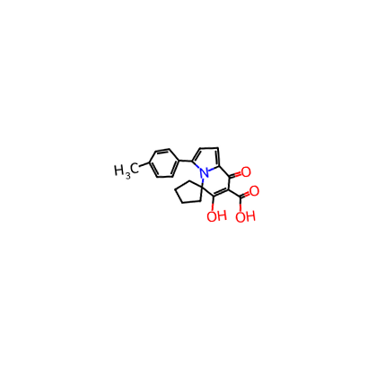 Cc1ccc(-c2ccc3n2C2(CCCC2)C(O)=C(C(=O)O)C3=O)cc1